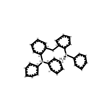 NP(c1ccccc1)c1ccccc1Cc1ccccc1P(c1ccccc1)c1ccccc1